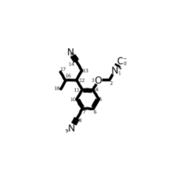 [C-]#[N+]COc1ccc(C#N)cc1C(CC#N)C(C)C